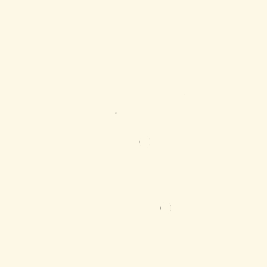 C#CC(C)(CC(C)C)OC=O